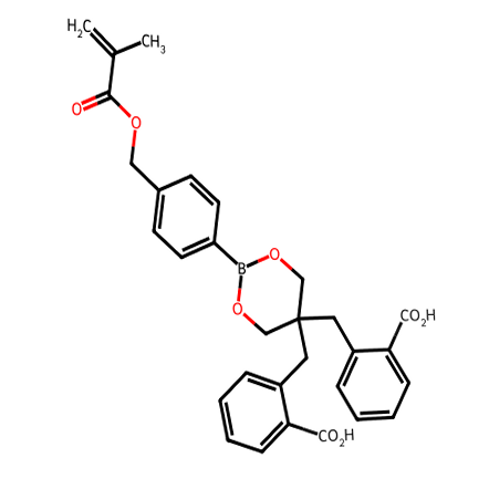 C=C(C)C(=O)OCc1ccc(B2OCC(Cc3ccccc3C(=O)O)(Cc3ccccc3C(=O)O)CO2)cc1